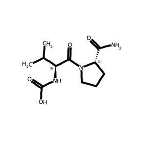 CC(C)[C@H](NC(=O)O)C(=O)N1CCC[C@H]1C(N)=O